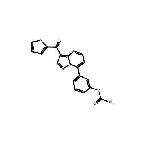 NC(=O)Oc1cccc(-c2ccnc3c(C(=O)c4cccs4)cnn23)c1